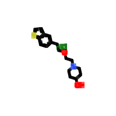 Cl.OC1CCN(CCOCCc2ccc3sccc3c2)CC1